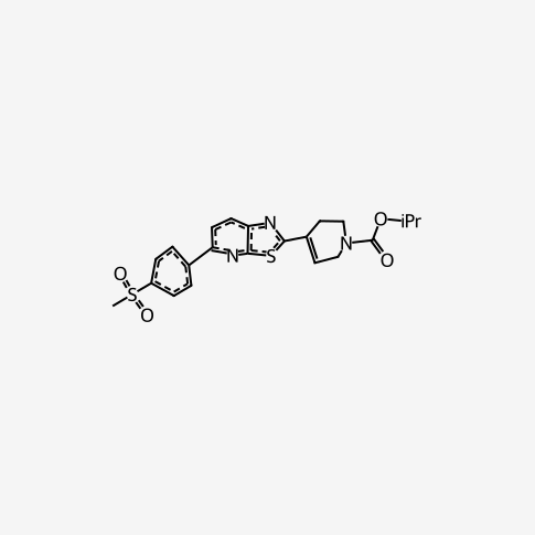 CC(C)OC(=O)N1CC=C(c2nc3ccc(-c4ccc(S(C)(=O)=O)cc4)nc3s2)CC1